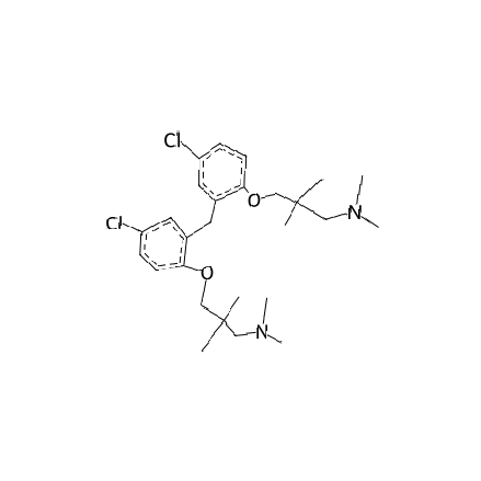 CN(C)CC(C)(C)COc1ccc(Cl)cc1Cc1cc(Cl)ccc1OCC(C)(C)CN(C)C